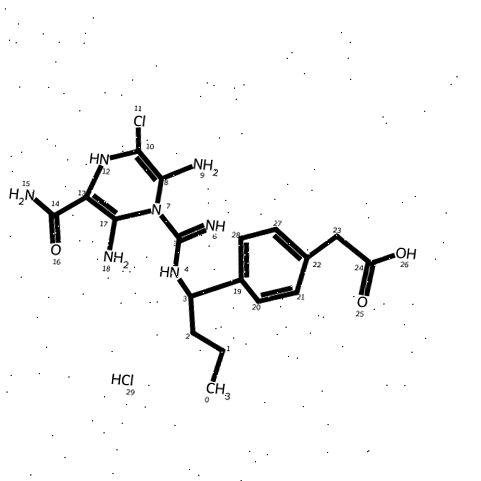 CCCC(NC(=N)N1C(N)=C(Cl)NC(C(N)=O)=C1N)c1ccc(CC(=O)O)cc1.Cl